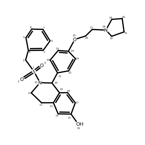 O=S(=O)(Cc1ccccc1)N1CCc2cc(O)ccc2C1c1ccc(OCCN2CCCC2)cc1